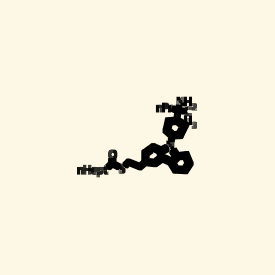 CCCCCCCC(=O)SCCc1ccc2c(c1)c1ccccc1n2-c1ccc(C(C)(N)CCC)cc1